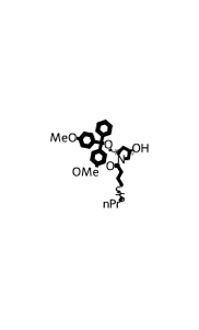 CCCSSCCCC(=O)N1C[C@H](O)C[C@H]1COC(c1ccccc1)(c1ccc(OC)cc1)c1ccc(OC)cc1